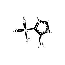 Cc1ncsc1S(=O)(=O)S